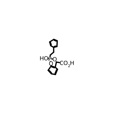 O=C(O)C(OP(=O)(O)CCc1ccccc1)c1ccccc1